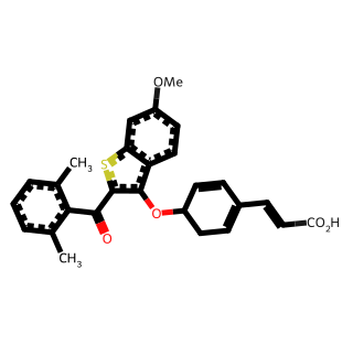 COc1ccc2c(OC3C=CC(/C=C/C(=O)O)=CC3)c(C(=O)c3c(C)cccc3C)sc2c1